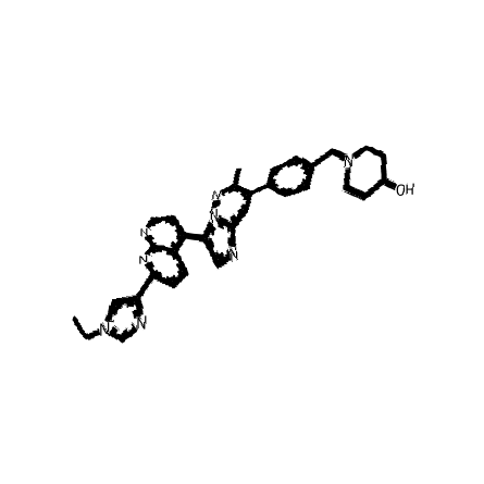 CCn1cnc(-c2ccc3c(-c4cnc5cc(-c6ccc(CN7CCC(O)CC7)cc6)c(C)nn45)ccnc3n2)c1